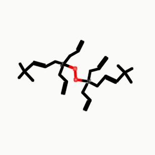 C=CC[Si](CC=C)(CC=CC(C)(C)C)OO[Si](CC=C)(CC=C)CC=CC(C)(C)C